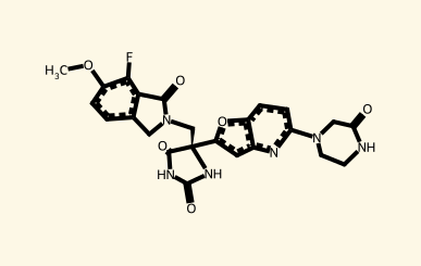 COc1ccc2c(c1F)C(=O)N(C[C@@]1(c3cc4nc(N5CCNC(=O)C5)ccc4o3)NC(=O)NC1=O)C2